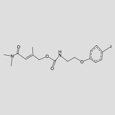 C/C(=C\C(=O)N(C)C)COC(=O)NCCOc1ccc(I)cc1